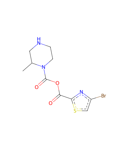 CC1CNCCN1C(=O)OC(=O)c1nc(Br)cs1